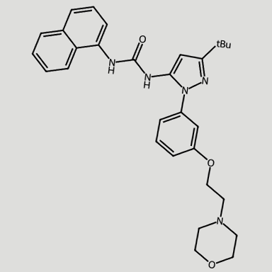 CC(C)(C)c1cc(NC(=O)Nc2cccc3ccccc23)n(-c2cccc(OCCN3CCOCC3)c2)n1